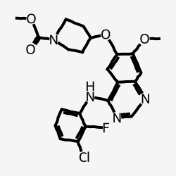 COC(=O)N1CCC(Oc2cc3c(Nc4cccc(Cl)c4F)ncnc3cc2OC)CC1